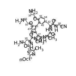 CCCCCCCCc1nc(C)c(C(=O)N[C@@H](CCN)C(=O)N(C)[C@@H]2C(=O)N[C@@H](C)C(=O)N[C@H](C(=O)NCC#N)Cc3ccc(OCCN)c(c3)-c3cc2ccc3OCCN)s1